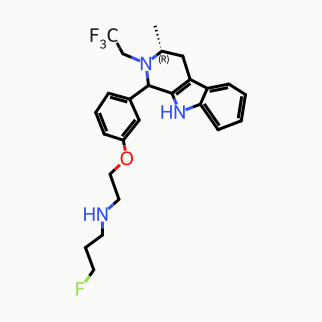 C[C@@H]1Cc2c([nH]c3ccccc23)C(c2cccc(OCCNCCCF)c2)N1CC(F)(F)F